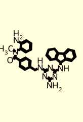 CN(C(=O)c1ccc(CNc2nc(N)nc(NC3C4=C(CCC=C4)c4ccccc43)n2)cc1)c1ccccc1N